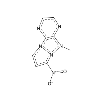 Cn1c2nccnc2n2ccc([N+](=O)[O-])[n+]12